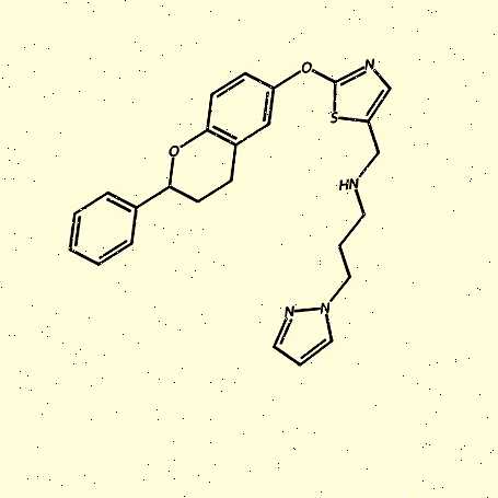 c1ccc(C2CCc3cc(Oc4ncc(CNCCCn5cccn5)s4)ccc3O2)cc1